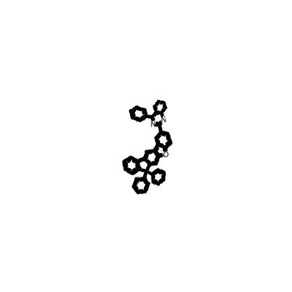 c1ccc(-c2nc(-c3ccc4oc5cc6c(cc5c4c3)-c3ccccc3C6(c3ccccc3)c3ccccc3)nc3ccccc23)cc1